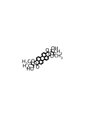 CCC(C)C(CO)N1C(=O)c2ccc3c4ccc5c6c(ccc(c7ccc(c2c37)C1=O)c64)C(=O)N(C(CO)C(C)CC)C5=O